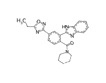 CCc1nc(-c2ccc(C(=O)N3CCCCC3)c(-c3nc4ccccc4[nH]3)c2)no1